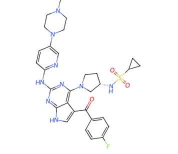 CN1CCN(c2ccc(Nc3nc(N4CC[C@H](NS(=O)(=O)C5CC5)C4)c4c(C(=O)c5ccc(F)cc5)c[nH]c4n3)nc2)CC1